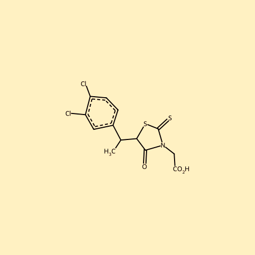 CC(c1ccc(Cl)c(Cl)c1)C1SC(=S)N(CC(=O)O)C1=O